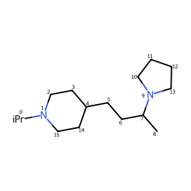 CC(C)N1CCC(CCC(C)N2CCCC2)CC1